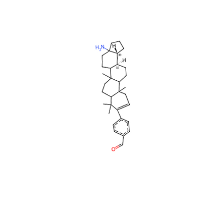 CC1(C)C(c2ccc(C=O)cc2)=CCC2(C)C1CCC1(C)C3CCC4(N)CCC[C@@H]4[C@H]3CCC12